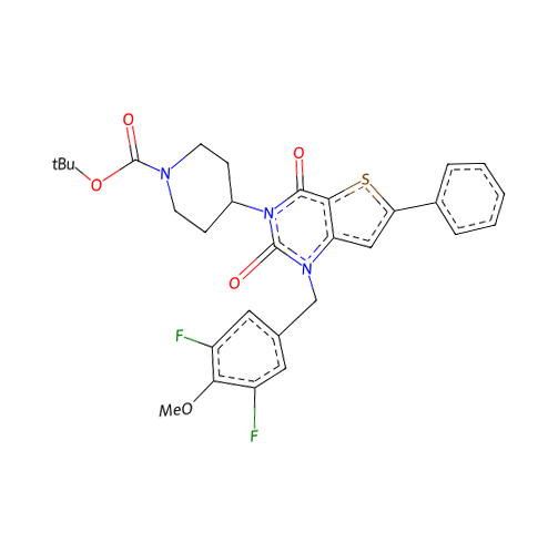 COc1c(F)cc(Cn2c(=O)n(C3CCN(C(=O)OC(C)(C)C)CC3)c(=O)c3sc(-c4ccccc4)cc32)cc1F